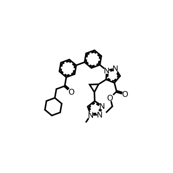 CCOC(=O)c1cnn(-c2cccc(-c3cccc(C(=O)CC4CCCCC4)c3)c2)c1C1CC1c1cn(C)nn1